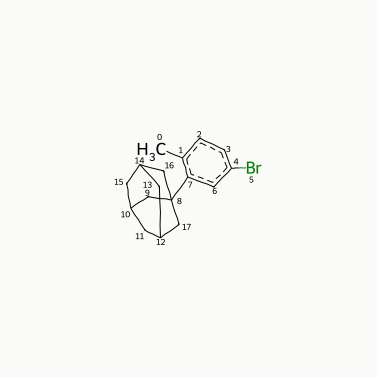 Cc1ccc(Br)cc1C12CC3CC(CC(C3)C1)C2